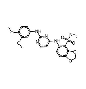 COc1ccc(Nc2nccc(Nc3ccc4c(c3S(N)(=O)=O)OCO4)n2)cc1OC